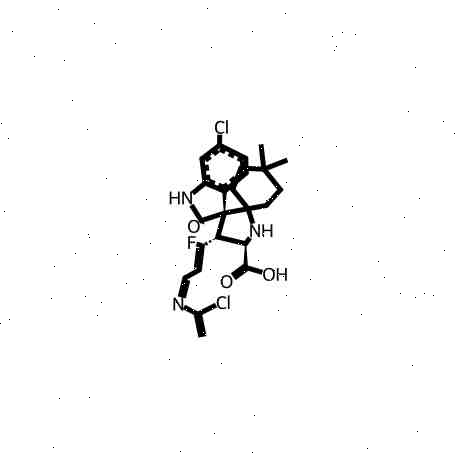 C=C(Cl)/N=C\C=C(/F)[C@H]1[C@H](C(=O)O)NC2(CCC(C)(C)CC2)[C@@]12C(=O)Nc1cc(Cl)ccc12